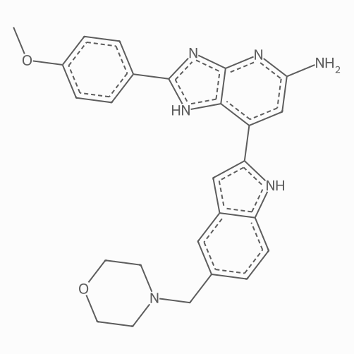 COc1ccc(-c2nc3nc(N)cc(-c4cc5cc(CN6CCOCC6)ccc5[nH]4)c3[nH]2)cc1